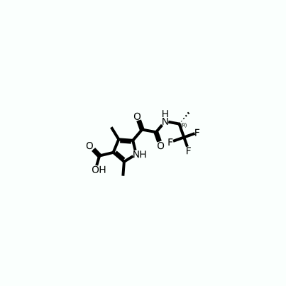 Cc1[nH]c(C(=O)C(=O)N[C@H](C)C(F)(F)F)c(C)c1C(=O)O